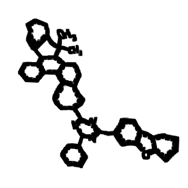 CC1(C)c2ccccc2-c2c1c1ccc3cc(-c4nc(-c5ccccc5)nc(-c5ccc6c(c5)oc5ccccc56)n4)ccc3c1c1ccccc21